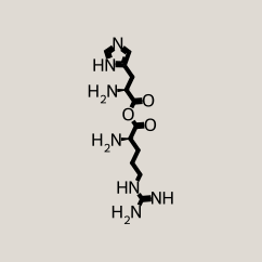 N=C(N)NCCC[C@@H](N)C(=O)OC(=O)[C@@H](N)Cc1cnc[nH]1